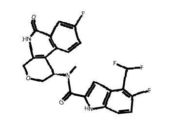 CN(C(=O)c1cc2c(C(F)F)c(F)ccc2[nH]1)[C@H]1COCc2[nH]c(=O)c3cc(F)ccc3c21